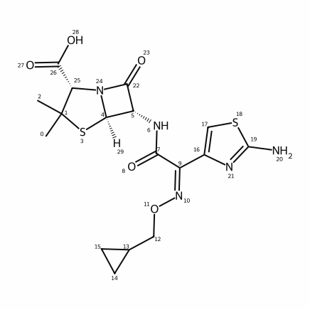 CC1(C)S[C@@H]2[C@@H](NC(=O)/C(=N\OCC3CC3)c3csc(N)n3)C(=O)N2[C@H]1C(=O)O